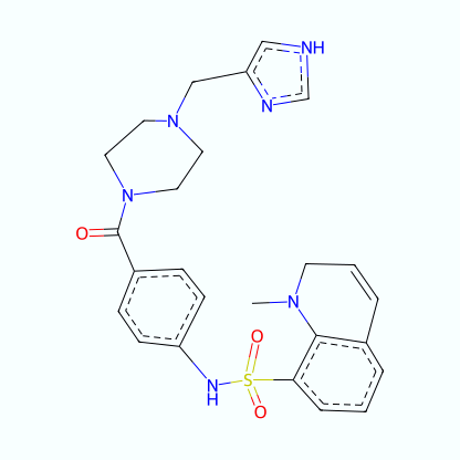 CN1CC=Cc2cccc(S(=O)(=O)Nc3ccc(C(=O)N4CCN(Cc5c[nH]cn5)CC4)cc3)c21